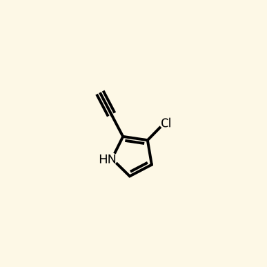 C#Cc1[nH]ccc1Cl